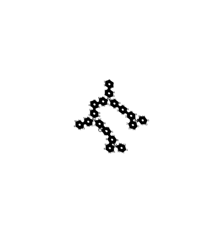 c1ccc(-c2ccc(N(c3ccc(-c4ccc(-c5ccc6c(c5)c5ccccc5n6-c5ccccc5)cc4)cc3)c3ccc(-c4cccc(-c5ccc(N(c6ccc(-c7ccccc7)cc6)c6ccc7c(c6)oc6cc(-c8ccc9c(c8)c8ccccc8n9-c8ccccc8)ccc67)cc5)c4)cc3)cc2)cc1